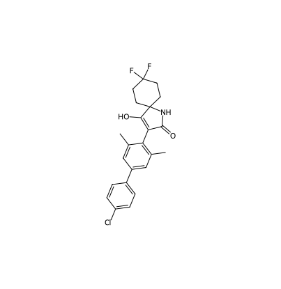 Cc1cc(-c2ccc(Cl)cc2)cc(C)c1C1=C(O)C2(CCC(F)(F)CC2)NC1=O